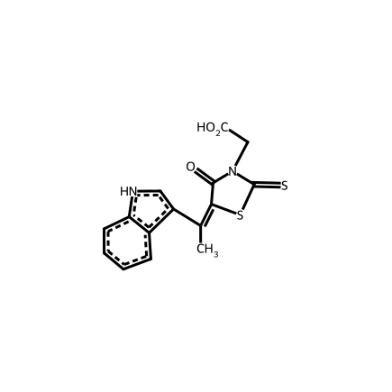 C/C(=C1\SC(=S)N(CC(=O)O)C1=O)c1c[nH]c2ccccc12